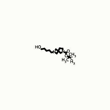 CC(C)(C)OC(=O)N1CCC2(CN(CCCCCO)C2)C1